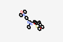 c1ccc(-c2nc(-c3ccc(-c4cccc5c4C4(c6ccccc6Sc6ccccc64)c4ccccc4-5)cc3)cc(-c3ccc(N4c5ccccc5Oc5ccccc54)cc3)n2)cc1